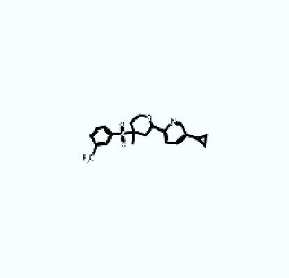 CC1(S(=O)(=O)c2cccc(C(F)(F)F)c2)CCOC(c2ccc(C3CC3)[c]n2)C1